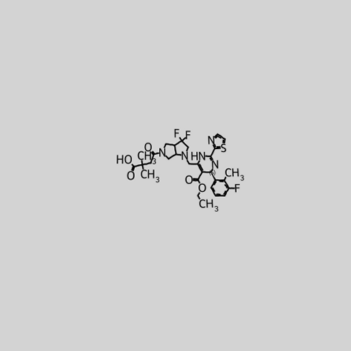 CCOC(=O)C1=C(CN2CC(F)(F)C3CN(C(=O)CC(C)(C)C(=O)O)CC32)NC(c2nccs2)=N[C@H]1c1cccc(F)c1C